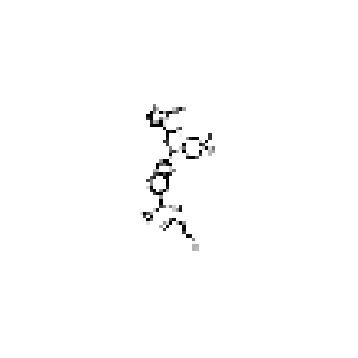 CC(C)n1nccc1C(=O)N[C@H](c1cn2ncc([C@H](NC(=O)CCCF)C3CC3)cc2n1)C1CCC(F)(F)CC1